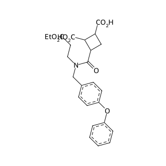 CCOC(=O)CCN(Cc1ccc(Oc2ccccc2)cc1)C(=O)C1CC(C(=O)O)C1C(=O)O